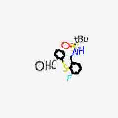 CC(C)(C)[S+]([O-])NCc1cccc(F)c1Sc1ccccc1C=O